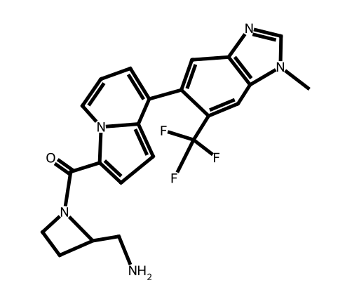 Cn1cnc2cc(-c3cccn4c(C(=O)N5CCC5CN)ccc34)c(C(F)(F)F)cc21